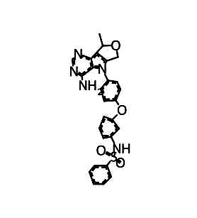 CC1OCc2c1c1ncnc(N)c1n2-c1ccc(Oc2cccc(NS(=O)(=O)c3ccccc3)c2)cc1